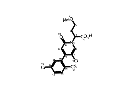 COCCC(C(=O)O)n1cc(Cl)c(-c2cc(Cl)ccc2C#N)cc1=O